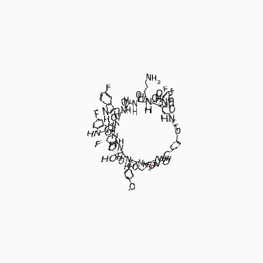 COc1ccc(C[C@@H]2NC(=O)[C@H]([C@@H](C)O)NC(=O)[C@@H]3C[C@H](F)CN3C(=O)[C@H](Cc3c[nH]c4ccc(F)cc34)NC(=O)[C@H](Cc3c[nH]c4ccc(F)cc34)NC(=O)[C@@H](C)NC(=O)[C@H](CCCCN)NC(=O)[C@@H](NC(=O)C(F)(F)F)CC(=O)NCCOc3ccc(cc3)C[C@@H](C(N)=O)NC(=O)[C@]3(C)CCCN3C2=O)cc1